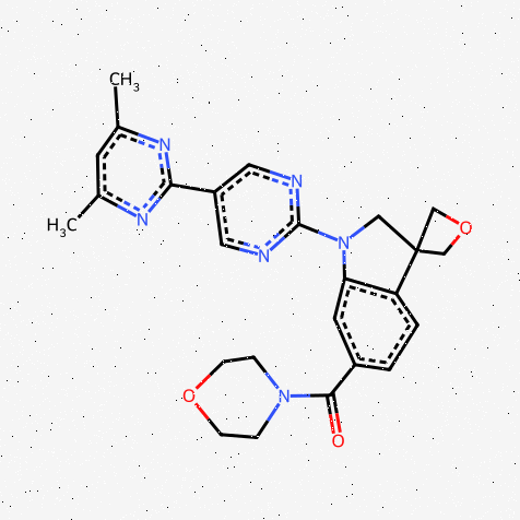 Cc1cc(C)nc(-c2cnc(N3CC4(COC4)c4ccc(C(=O)N5CCOCC5)cc43)nc2)n1